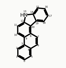 c1ccc2c(c1)ccc1c2ccc2[nH]c3ccccc3c21